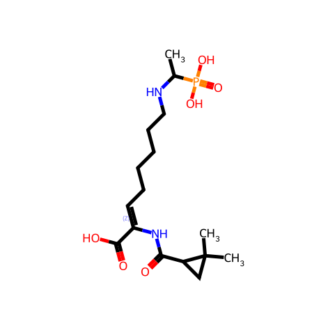 CC(NCCCCC/C=C(\NC(=O)C1CC1(C)C)C(=O)O)P(=O)(O)O